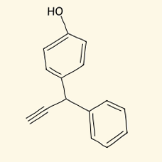 C#CC(c1ccccc1)c1ccc(O)cc1